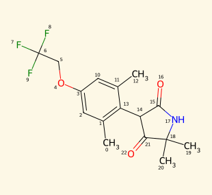 Cc1cc(OCC(F)(F)F)cc(C)c1C1C(=O)NC(C)(C)C1=O